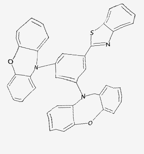 c1ccc2c(c1)Oc1ccccc1N2c1cc(-c2nc3ccccc3s2)cc(N2c3ccccc3Oc3ccccc32)c1